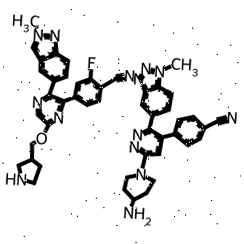 Cn1cc2cc(-c3ncc(OCC4CCNC4)nc3-c3ccc(C#N)c(F)c3)ccc2n1.Cn1nnc2cc(-c3nnc(N4CCC(N)CC4)cc3-c3ccc(C#N)cc3)ccc21